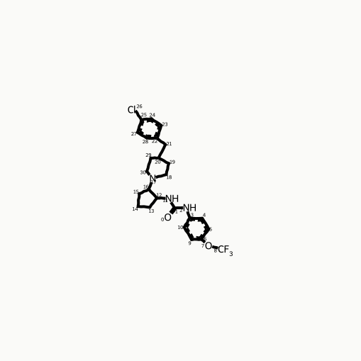 O=C(Nc1ccc(OC(F)(F)F)cc1)NC1CCCC1N1CCC(Cc2ccc(Cl)cc2)CC1